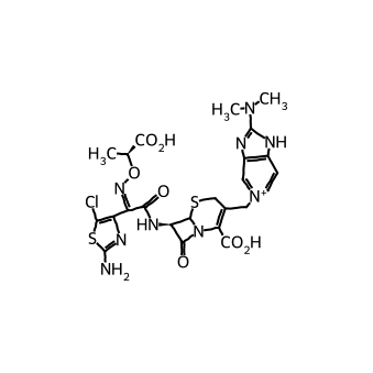 C[C@H](O/N=C(\C(=O)N[C@@H]1C(=O)N2C(C(=O)O)=C(C[n+]3ccc4[nH]c(N(C)C)nc4c3)CSC12)c1nc(N)sc1Cl)C(=O)O